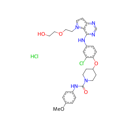 COc1ccc(NC(=O)N2CCC(Oc3ccc(Nc4ncnc5ccn(CCOCCO)c45)cc3Cl)CC2)cc1.Cl